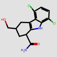 NC(=O)C1CC(CO)Cc2c1[nH]c1c(Cl)ccc(Cl)c21